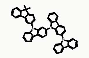 CC1(C)c2ccccc2-c2cc(-n3c4ccccc4c4ccc(-n5c6ccccc6c6ccc(-n7c8ccccc8c8ccccc87)cc65)cc43)ccc21